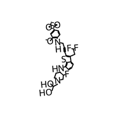 COc1cc(S(C)(=O)=O)ccc1NCC#Cc1sc2c(NC3CCN(CC(O)CO)CC3F)cccc2c1CC(F)F